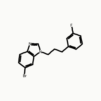 Fc1cccc(CCCn2cnc3ccc(Br)cc32)c1